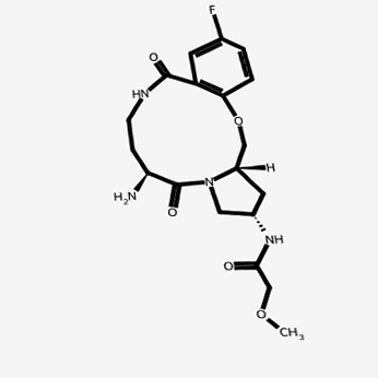 COCC(=O)N[C@H]1C[C@H]2COc3ccc(F)cc3C(=O)NCC[C@H](N)C(=O)N2C1